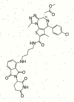 COC(=O)C[C@@H]1N=C(c2ccc(Cl)cc2)c2c(sc(C(=O)NCCCCNc3cccc4c3C(=O)N(C3CCC(=O)NC3=O)C4=O)c2C)-n2c(C)nnc21